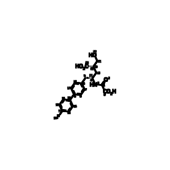 O=C(O)C(=O)N[C@H](Cc1ccc(-c2ccc(F)cc2)cc1)C[C@@H](CO)C(=O)O